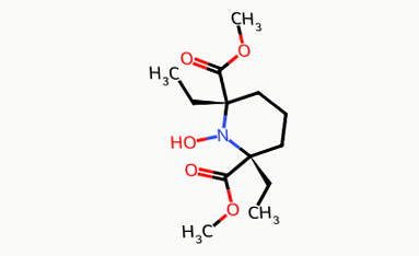 CC[C@@]1(C(=O)OC)CCC[C@](CC)(C(=O)OC)N1O